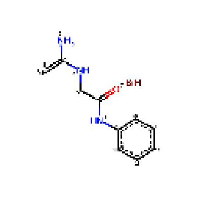 Br.NC(=[Se])NCC(=O)Nc1ccccc1